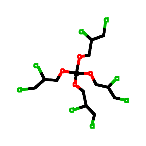 ClCC(Cl)CO[Si](OCC(Cl)CCl)(OCC(Cl)CCl)OCC(Cl)CCl